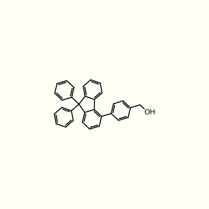 OCc1ccc(-c2cccc3c2-c2ccccc2C3(c2ccccc2)c2ccccc2)cc1